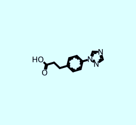 O=C(O)CCc1ccc(-n2cncn2)cc1